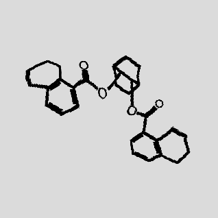 O=C(OC1C2CCC(CC2)C1OC(=O)c1cccc2c1CCCC2)c1cccc2c1CCCC2